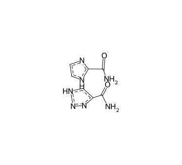 NC(=O)c1c[nH]nn1.NC(=O)c1ncc[nH]1